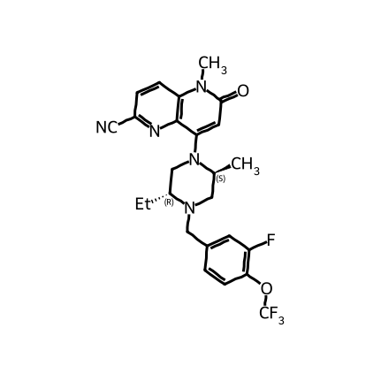 CC[C@@H]1CN(c2cc(=O)n(C)c3ccc(C#N)nc23)[C@@H](C)CN1Cc1ccc(OC(F)(F)F)c(F)c1